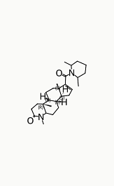 CC1CCCC(C)N1C(=O)C1=CC[C@H]2[C@@H]3CCC4N(C)C(=O)CC[C@]4(C)[C@@H]3CC[C@]12C